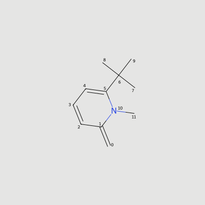 C=C1C=CC=C(C(C)(C)C)N1C